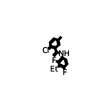 C=C(Nc1ccc(F)c(CC)c1F)c1cc(C)ccc1Cl